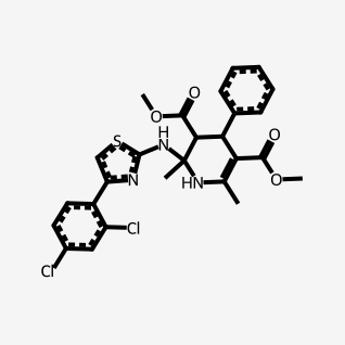 COC(=O)C1=C(C)NC(C)(Nc2nc(-c3ccc(Cl)cc3Cl)cs2)C(C(=O)OC)C1c1ccccc1